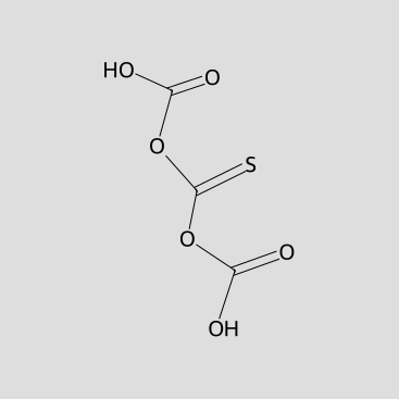 O=C(O)OC(=S)OC(=O)O